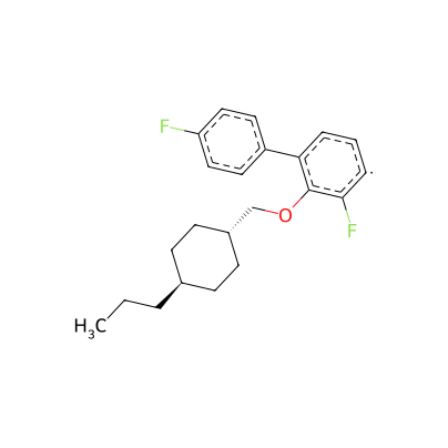 CCC[C@H]1CC[C@H](COc2c(F)[c]ccc2-c2ccc(F)cc2)CC1